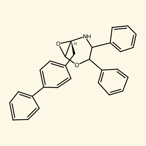 c1ccc(-c2ccc(C[C@@]34NC(c5ccccc5)C(c5ccccc5)OC3O4)cc2)cc1